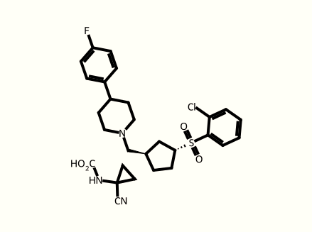 N#CC1(NC(=O)O)CC1.O=S(=O)(c1ccccc1Cl)[C@@H]1CC[C@@H](CN2CCC(c3ccc(F)cc3)CC2)C1